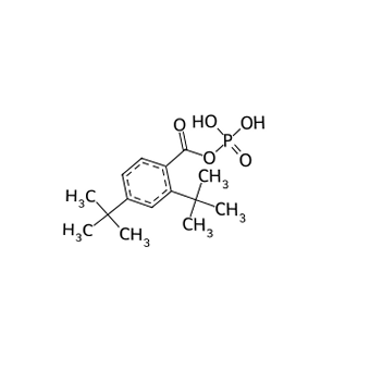 CC(C)(C)c1ccc(C(=O)OP(=O)(O)O)c(C(C)(C)C)c1